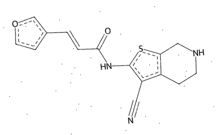 N#Cc1c(NC(=O)C=Cc2ccoc2)sc2c1CCNC2